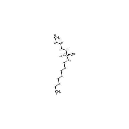 CCCCCCCCOS(=O)(=O)CCCCC